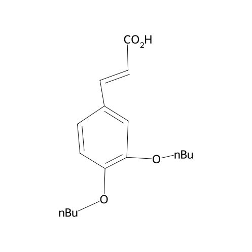 CCCCOc1ccc(C=CC(=O)O)cc1OCCCC